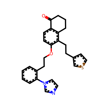 O=C1CCCc2c1ccc(OCCc1ccccc1-n1ccnc1)c2CCc1ccsc1